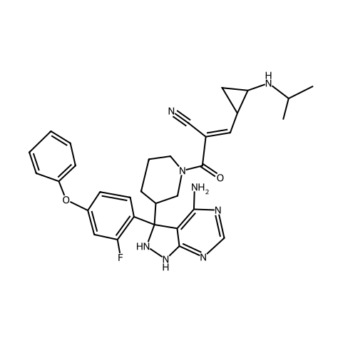 CC(C)NC1CC1C=C(C#N)C(=O)N1CCCC(C2(c3ccc(Oc4ccccc4)cc3F)NNc3ncnc(N)c32)C1